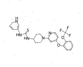 FC(F)(F)Oc1ccccc1Oc1ccnc(N2CCC(NC(=S)NC3=CNCC=C3)CC2)c1